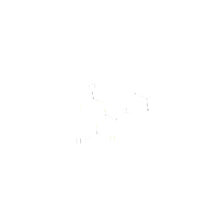 CC(S)SC(CC1SCCCS1)SC(C)S